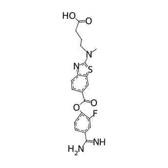 CN(CCCC(=O)O)c1nc2ccc(C(=O)Oc3ccc(C(=N)N)cc3F)cc2s1